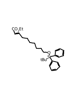 CCOC(=O)C=CCCCCCCCO[Si](c1ccccc1)(c1ccccc1)C(C)(C)C